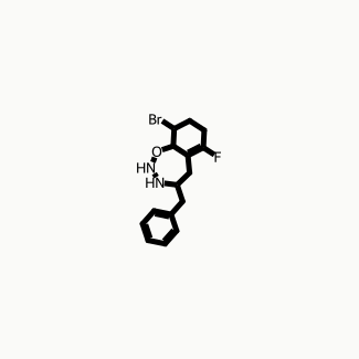 FC1=C2CC(Cc3ccccc3)NNOC2C(Br)CC1